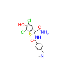 CN(C)Cc1ccc(C(=O)Nc2sc3c(Cl)c(O)c(Cl)cc3c2C(N)=O)cc1